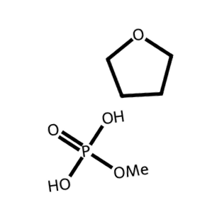 C1CCOC1.COP(=O)(O)O